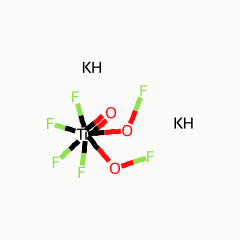 [KH].[KH].[O]=[Ti]([F])([F])([F])([F])([O]F)[O]F